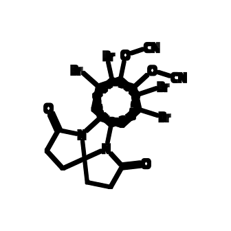 N#COc1c(Br)cc(N2C(=O)CCC23CCC(=O)N3c2cc(Br)c(OC#N)c(Br)c2)cc1Br